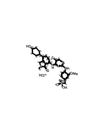 COc1cc(CP(=O)(O)O)ccc1Nc1ncc(C(F)(F)F)c(Nc2ccc(C3CCC(O)CC3)c3c2C(=O)N(C)C3)n1.Cl